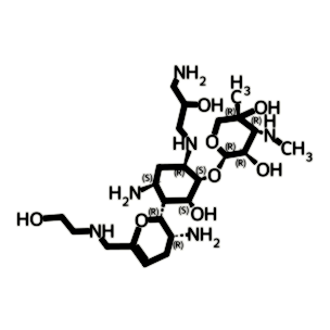 CN[C@@H]1[C@@H](O)[C@@H](O[C@H]2[C@H](NCC(O)CN)C[C@H](N)C([C@H]3OC(CNCCO)=CC[C@H]3N)[C@@H]2O)OC[C@]1(C)O